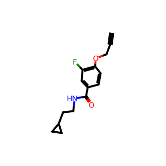 C#CCOc1ccc(C(=O)NCCC2CC2)cc1F